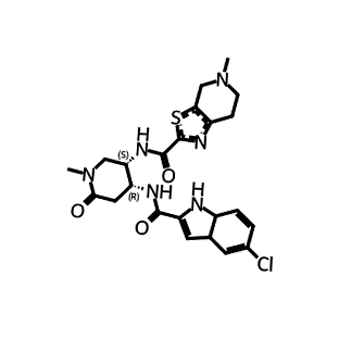 CN1CCc2nc(C(=O)N[C@H]3CN(C)C(=O)C[C@H]3NC(=O)C3=CC4C=C(Cl)C=CC4N3)sc2C1